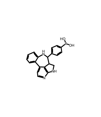 OB(O)c1ccc(C2Nc3ccccc3-c3ccnc4c3C2CN4)cc1